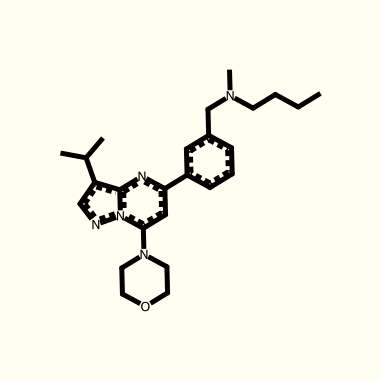 CCCCN(C)Cc1cccc(-c2cc(N3CCOCC3)n3ncc(C(C)C)c3n2)c1